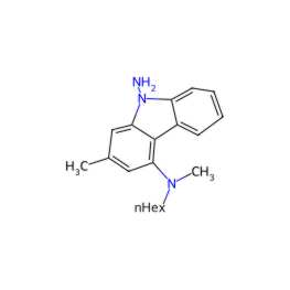 CCCCCCN(C)c1cc(C)cc2c1c1ccccc1n2N